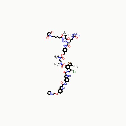 Cc1csc2c(OC(=O)N(C)CCN(C)C(=O)OCc3ccc(NC(=O)[C@H](CCCNC(N)=O)NC(=O)[C@@H](NC(=O)CCCCCN4C(=O)C=CC4=O)C(C)C)cc3)cc3c(c12)[C@@H](CCl)CN3C(=O)c1cc2cc(NC(=O)c3cc4cc(OCCN5CCCC5)ccc4[nH]3)ccc2[nH]1